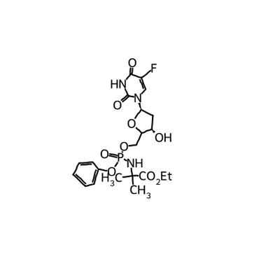 CCOC(=O)C(C)(C)NP(=O)(OCC1O[C@@H](n2cc(F)c(=O)[nH]c2=O)C[C@H]1O)Oc1ccccc1